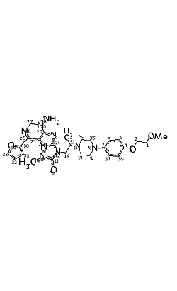 COCCOc1ccc(N2CCN(C(C)Cn3c(=O)n(C)n4c5c(nc34)N(N)CN=C5c3ccco3)CC2)cc1